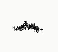 COc1cc2c(c(Cl)c1OCCCOc1c(OC)cc3sc(C(=O)C[C@H](C)C(=O)O)cc3c1Cl)CN(C(O)C[C@H](C)C(=O)O)C2